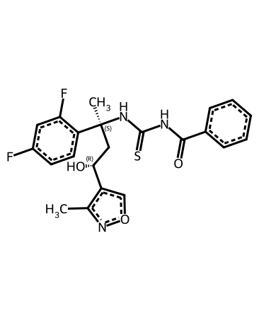 Cc1nocc1[C@H](O)C[C@](C)(NC(=S)NC(=O)c1ccccc1)c1ccc(F)cc1F